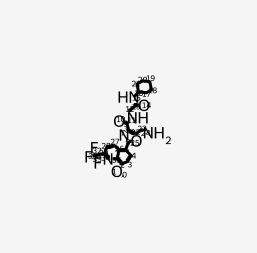 COc1ccc(-c2nc(C(=O)NCC(=O)NC3CCCCC3)c(CN)o2)c2ccc(C(F)(F)F)nc12